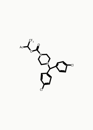 CC(=O)C(OC(=O)N1CCN(C(c2ccc(Cl)cc2)c2ccc(Cl)cc2)CC1)C(F)(F)F